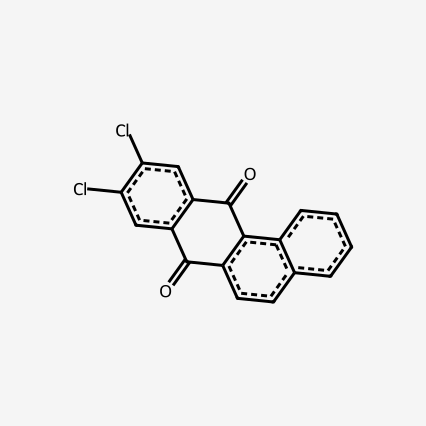 O=C1c2cc(Cl)c(Cl)cc2C(=O)c2c1ccc1ccccc21